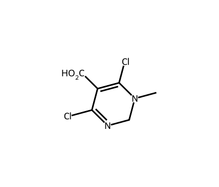 CN1CN=C(Cl)C(C(=O)O)=C1Cl